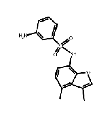 Cc1ccc(NS(=O)(=O)c2cccc(N)c2)c2[nH]cc(C)c12